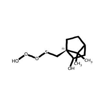 CC1(C)C2CC[C@@]1(CSOOO)C(O)C2